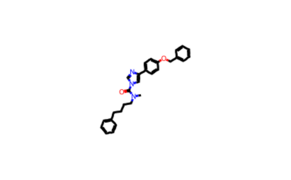 CN(CCCCc1ccccc1)C(=O)n1cnc(-c2ccc(OCc3ccccc3)cc2)c1